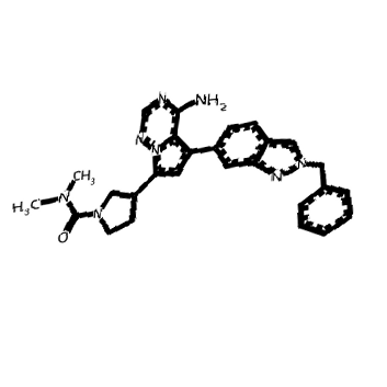 CN(C)C(=O)N1CCC(c2cc(-c3ccc4cn(Cc5ccccc5)nc4c3)c3c(N)ncnn23)C1